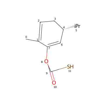 CC1=CC[C@H](C(C)C)C=C1OC(=O)S